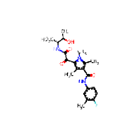 Cc1cc(NC(=O)c2c(C)c(C(=O)C(=O)N[C@@H](C(=O)O)[C@@H](C)O)n(C)c2C)ccc1F